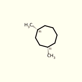 C[C@@H]1CCCC[C@H](C)CC1